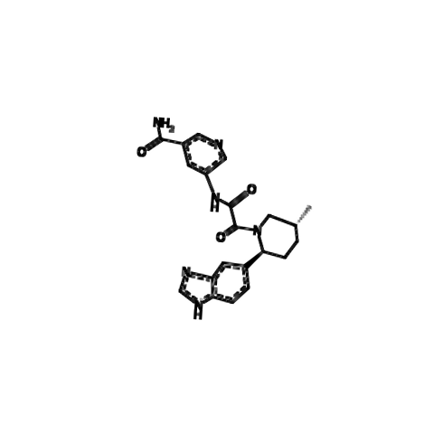 C[C@@H]1CC[C@@H](c2ccc3[nH]cnc3c2)N(C(=O)C(=O)Nc2cncc(C(N)=O)c2)C1